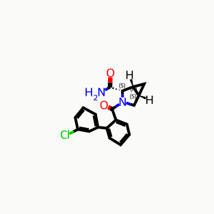 NC(=O)[C@@H]1[C@@H]2C[C@@H]2CN1C(=O)c1ccccc1-c1cccc(Cl)c1